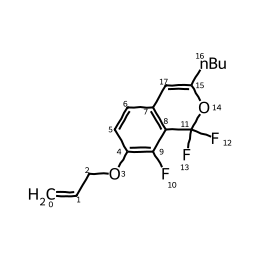 C=CCOc1ccc2c(c1F)C(F)(F)OC(CCCC)=C2